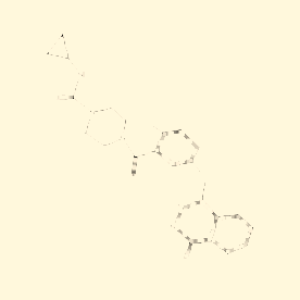 O=C(NC1CC1)N1CCN(C(=O)c2cc(Oc3n[nH]c(=O)c4ccccc34)ccc2F)CC1